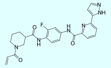 C=CC(=O)N1CCCC(C(=O)Nc2ccc(NC(=O)c3cccc(-c4ccn[nH]4)n3)cc2F)C1